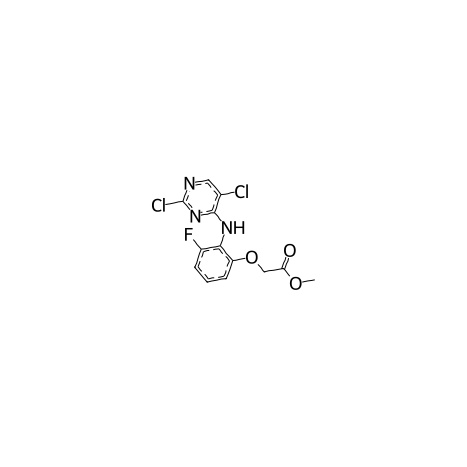 COC(=O)COc1cccc(F)c1Nc1nc(Cl)ncc1Cl